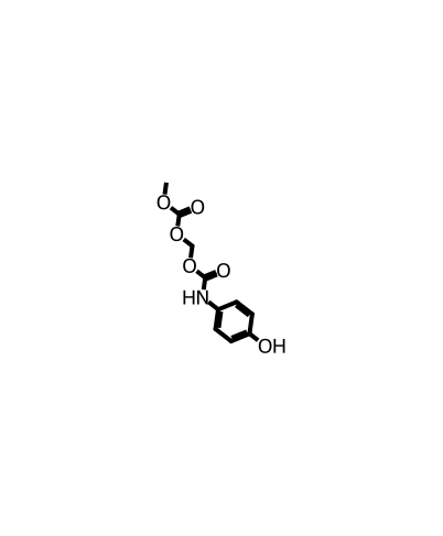 COC(=O)OCOC(=O)Nc1ccc(O)cc1